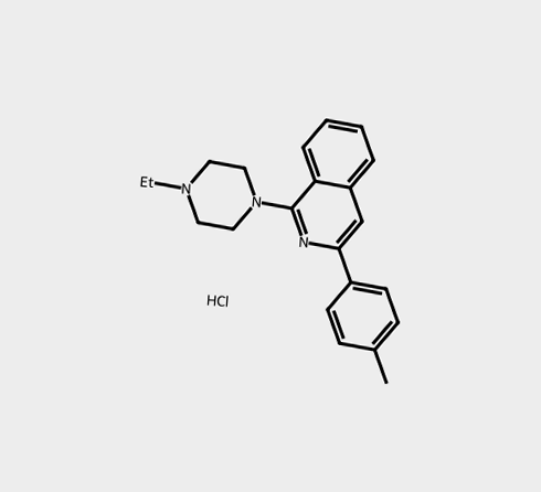 CCN1CCN(c2nc(-c3ccc(C)cc3)cc3ccccc23)CC1.Cl